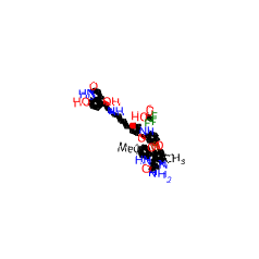 COc1cccc(Nc2c(C(N)=O)cnc3c(C)cc(S(=O)(=O)c4cccc(C(=O)Nc5ccc(CCCCCNCC(O)c6ccc(O)c7[nH]c(=O)ccc67)cc5)c4)cc23)c1.O=C(O)C(F)(F)F